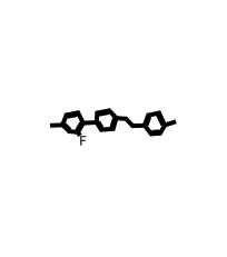 Cc1ccc(CCc2ccc(-c3ccc(C)cc3F)cc2)cc1